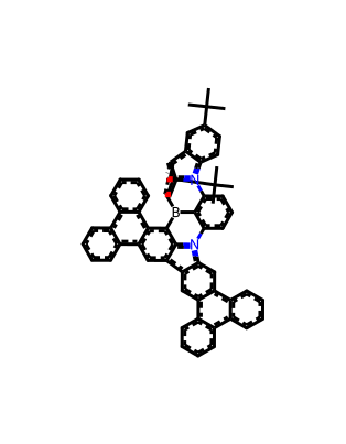 CC(C)(C)c1ccc2c(c1)c1cc(C(C)(C)C)cc3c1n2-c1cccc2c1B3c1c3c4ccccc4c4ccccc4c3cc3c4cc5c6ccccc6c6ccccc6c5cc4n-2c13